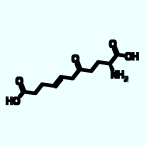 N[C@@H](CCC(=O)CC=CCCC(=O)O)C(=O)O